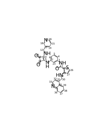 O=C(Nc1cccc(Nc2c(NCc3cccnc3)c(=O)c2=O)c1)c1sccc1NCc1ccnc2ccccc12